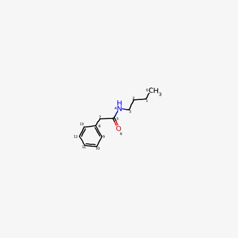 CCCCNC(=O)Cc1ccccc1